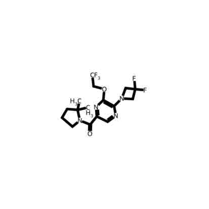 CC1(C)CCCN1C(=O)c1cnc(N2CC(F)(F)C2)c(OCC(F)(F)F)n1